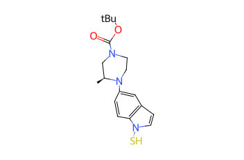 C[C@H]1CN(C(=O)OC(C)(C)C)CCN1c1ccc2c(ccn2S)c1